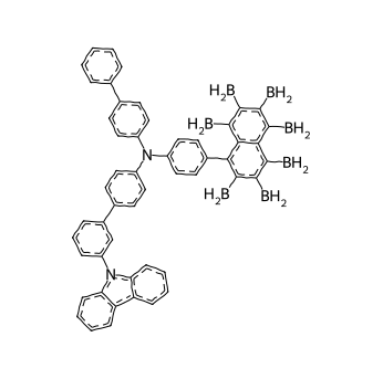 Bc1c(B)c(B)c2c(-c3ccc(N(c4ccc(-c5ccccc5)cc4)c4ccc(-c5cccc(-n6c7ccccc7c7ccccc76)c5)cc4)cc3)c(B)c(B)c(B)c2c1B